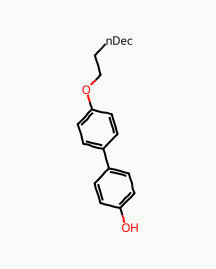 CCCCCCCCCCCCOc1ccc(-c2ccc(O)cc2)cc1